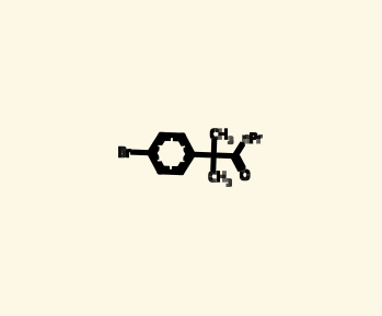 CCCC(=O)C(C)(C)c1ccc(Br)cc1